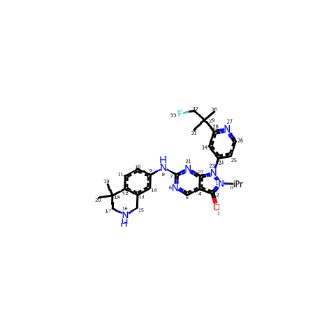 CC(C)n1c(=O)c2cnc(Nc3ccc4c(c3)CNCC4(C)C)nc2n1-c1ccnc(C(C)(C)CF)c1